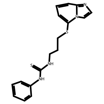 S=C(NCCCSc1cccc2nccn12)Nc1ccccc1